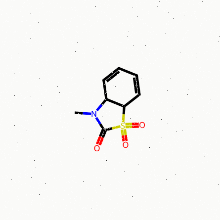 CN1C(=O)S(=O)(=O)C2C=CC=CC21